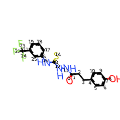 O=C(CCc1ccc(O)cc1)NNC(=S)Nc1cccc(C(F)(F)F)c1